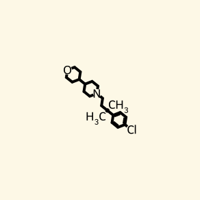 CC(C)(CCN1CCC(C2CCOCC2)CC1)c1ccc(Cl)cc1